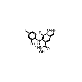 Cc1cc(I)ccc1NC1=C(F)N2ONC=C2C=C1C(=O)NO